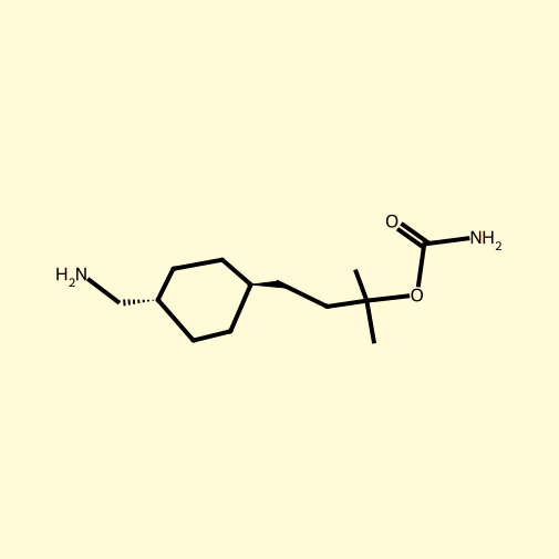 CC(C)(CC[C@H]1CC[C@H](CN)CC1)OC(N)=O